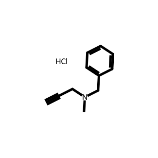 C#CCN(C)Cc1ccccc1.Cl